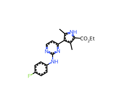 CCOC(=O)c1[nH]c(C)c(-c2ccnc(Nc3ccc(F)cc3)n2)c1C